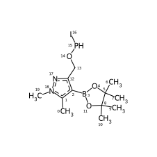 Cc1c(B2OC(C)(C)C(C)(C)O2)c(COPI)nn1C